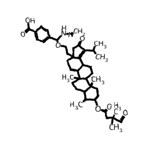 C=NNC(OCCC12CCC3C(CCC4C3(C)CCC3C(C)C(OC(=O)CC(C)(C)C=O)CCC34C)C1=C(C(C)C)C(=O)C2)c1ccc(C(=O)O)cc1